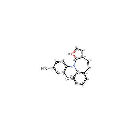 COc1cc(C)ccc1N1c2ccccc2C=Cc2ccoc21